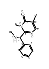 CN[C@@H](c1ccccc1)c1ncc(C)c(=O)n1C